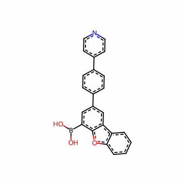 OB(O)c1cc(-c2ccc(-c3ccncc3)cc2)cc2c1oc1ccccc12